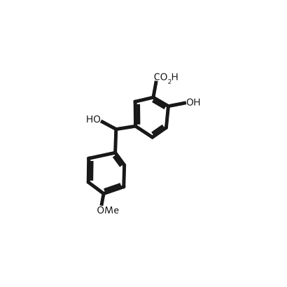 COc1ccc(C(O)c2ccc(O)c(C(=O)O)c2)cc1